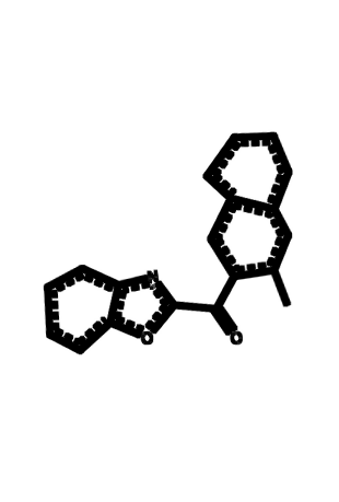 Cc1cc2ccccc2cc1C(=O)c1nc2ccccc2o1